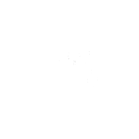 CCSCC(=O)Nc1ccccc1OCc1ccccc1